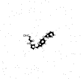 O=COCC(=O)NC1CCN(Cc2cc3ccc(Oc4nc5ncccc5s4)cc3o2)C1